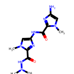 CN(C)NC(=O)c1nc(NC(=O)c2nc(N)cn2C)cn1C